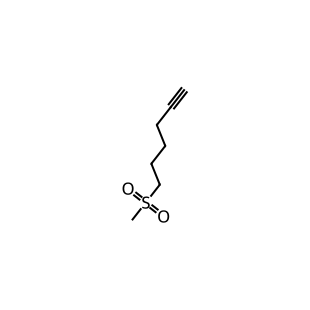 C#CCCCCS(C)(=O)=O